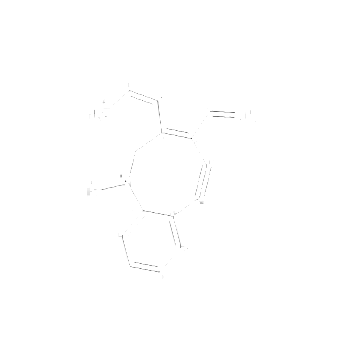 C=C/C1=C(\C=C/C)CN(C(C)C)c2ccccc2C#C1